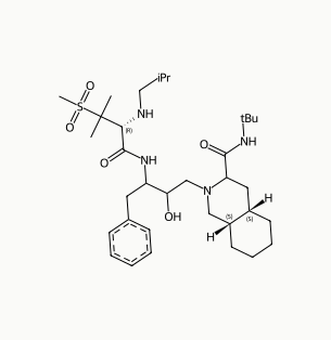 CC(C)CN[C@H](C(=O)NC(Cc1ccccc1)C(O)CN1C[C@H]2CCCC[C@H]2CC1C(=O)NC(C)(C)C)C(C)(C)S(C)(=O)=O